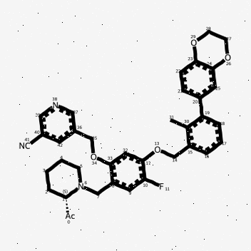 CC(=O)[C@@H]1CCCCN1Cc1cc(F)c(OCc2cccc(-c3ccc4c(c3)OCCO4)c2C)cc1OCc1cncc(C#N)c1